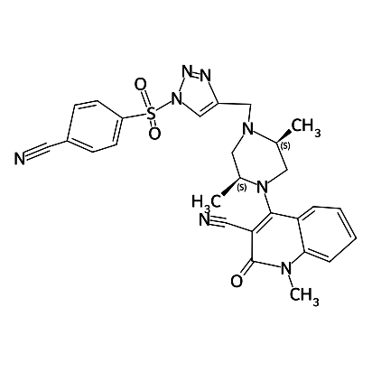 C[C@H]1CN(c2c(C#N)c(=O)n(C)c3ccccc23)[C@@H](C)CN1Cc1cn(S(=O)(=O)c2ccc(C#N)cc2)nn1